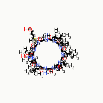 C/C=C/C[C@@H](C)C[C@@H]1C(=O)N[C@H](CC)C(=O)N(C)[C@@H](CSCCCCO)C(=O)N(C)[C@@H](CC(C)(C)O)C(=O)N[C@H](C(C)C)C(=O)N(C)[C@H](CCC(C)C)C(=O)N[C@H](C)C(=O)N[C@@H](C)C(=O)N(C)[C@@H](CC(C)C)C(=O)N(C)[C@H](CCC(C)C)C(=O)N(C)[C@H](C(C)C)C(=O)N1C